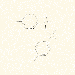 Cc1ccc(P(=O)(O)OP(=O)(O)c2ccc(C)cc2)cc1